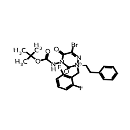 CC(C)(C)OC(=O)NN1C(=O)C(Br)=N[N@+](CCc2ccccc2)(Cc2c(F)cccc2F)C1=O